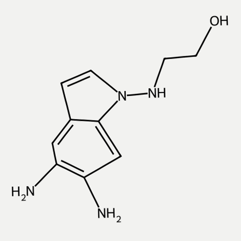 Nc1cc2ccn(NCCO)c2cc1N